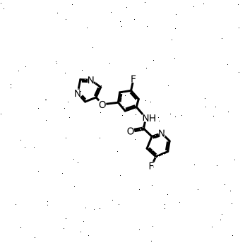 O=C(Nc1cc(F)cc(Oc2cncnc2)c1)c1cc(F)ccn1